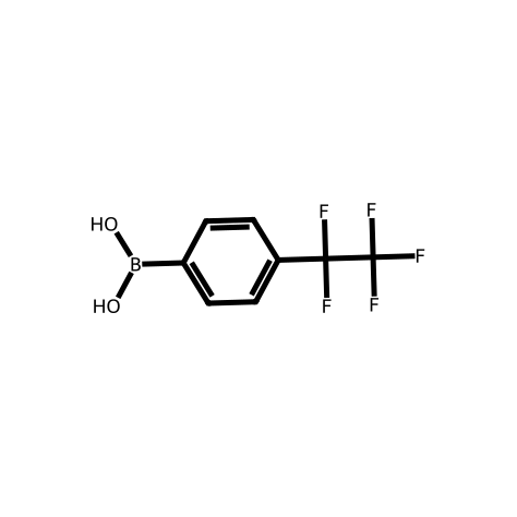 OB(O)c1ccc(C(F)(F)C(F)(F)F)cc1